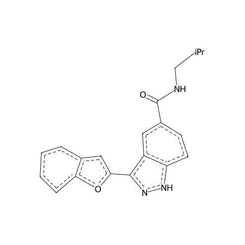 CC(C)CNC(=O)c1ccc2[nH]nc(-c3cc4ccccc4o3)c2c1